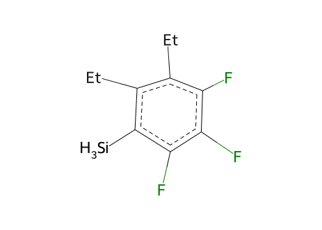 CCc1c(F)c(F)c(F)c([SiH3])c1CC